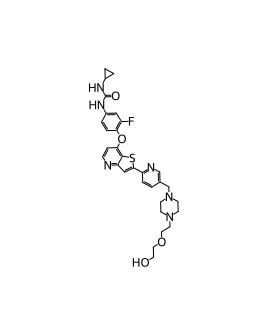 O=C(Nc1ccc(Oc2ccnc3cc(-c4ccc(CN5CCN(CCOCCO)CC5)cn4)sc23)c(F)c1)NC1CC1